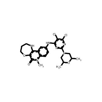 CC1CN(c2nc(Cl)c(Cl)c(Nc3ccc4c(c3)c3c(c(=O)n4C)OCCCN3)n2)CC(C)O1